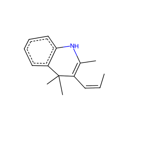 C/C=C\C1=C(C)Nc2ccccc2C1(C)C